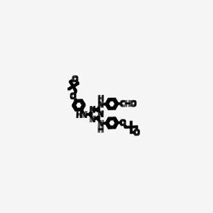 CC1(COc2ccc(Nc3nc(Nc4ccc(C=O)cc4)nc(Nc4ccc(OCC5(C)COC5)cc4)n3)cc2)COC1